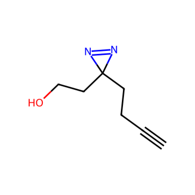 C#CCCC1(CCO)N=N1